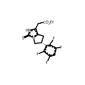 CCOC(=O)Cc1[nH]c(=S)n2c1C[C@H](c1c(F)c(F)cc(F)c1F)C2